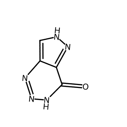 O=c1[nH]nnc2c[nH]nc12